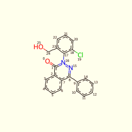 O=c1c2ccccc2c(-c2ccccc2)nn1-c1c(Cl)cccc1CO